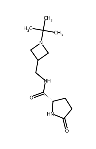 CC(C)(C)N1CC(CNC(=O)[C@@H]2CCC(=O)N2)C1